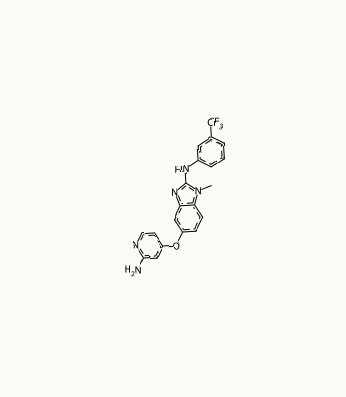 Cn1c(Nc2cccc(C(F)(F)F)c2)nc2cc(Oc3ccnc(N)c3)ccc21